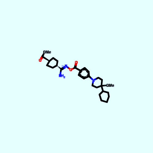 COC(=O)[C@H]1CC[C@H](/C(N)=N/OC(=O)c2ccc(N3CCC(OC)(C4CCCCC4)CC3)cc2)CC1